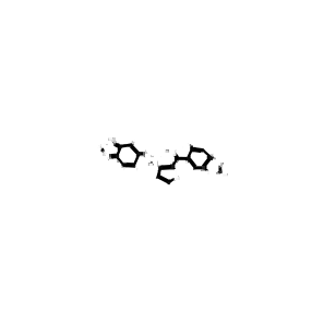 Cc1cc2c(cc1C(=O)c1sccc1S(=O)(=O)Nc1ccc3nsnc3c1)OCO2